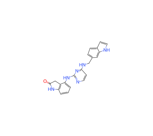 O=C1Cc2c(cccc2Nc2nccc(NCc3ccc4cc[nH]c4c3)n2)N1